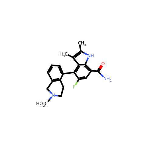 Cc1[nH]c2c(C(N)=O)cc(F)c(-c3cccc4c3CCN(C(=O)O)C4)c2c1C